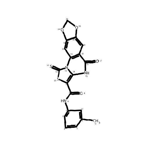 Cc1cccc(NC(=O)c2sc(=S)n3c2[nH]c(=O)c2cc4c(cc23)OCO4)c1